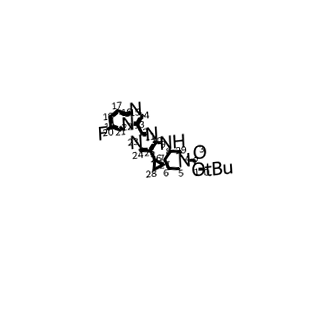 CC(C)(C)OC(=O)N1CCC[C@@H](Nc2nc(-c3cnc4ccc(F)cn34)ncc2C2CC2)C1